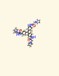 O=C(CN1CCCC1)Nc1ccc(C(c2ccc(NC(=O)CN3CCCC3)cc2)c2ccc(NC(=O)CN3CCCC3)cc2)cc1